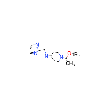 C=C(OC(C)(C)C)N1CCC(=NCc2ncccn2)CC1